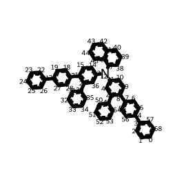 c1ccc(-c2ccc(-c3ccc(N(c4ccc(-c5ccc(-c6ccccc6)cc5)c(-c5ccccc5)c4)c4cccc5ccccc45)cc3-c3ccccc3)cc2)cc1